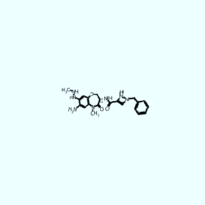 CNNc1cc2c(cc1N)N(C)C(=O)[C@@H](NC(=O)c1cn(Cc3ccccc3)[nH]1)CO2